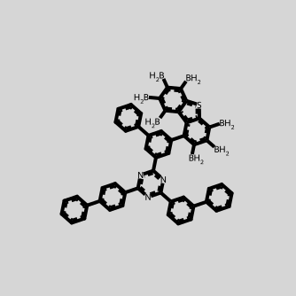 Bc1c(B)c(B)c2c(sc3c(B)c(B)c(B)c(-c4cc(-c5ccccc5)cc(-c5nc(-c6ccc(-c7ccccc7)cc6)nc(-c6cccc(-c7ccccc7)c6)n5)c4)c32)c1B